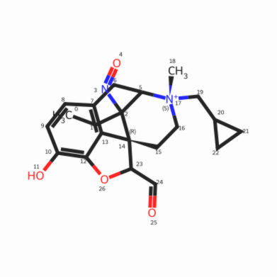 CCC1(N=O)C2Cc3ccc(O)c4c3[C@@]1(CC[N@@+]2(C)CC1CC1)C(C=O)O4